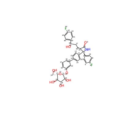 O=C1N[C@](c2ccc(F)cc2)(c2ccc(-c3cccc(O[C@H]4O[C@@H](CO)[C@H](O)[C@@H](O)[C@@H]4O)c3)cc2)[C@H]1CC[C@H](O)c1ccc(F)cc1